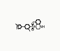 Cc1cc(-c2cnn(C)c2)ccc1S(=O)(=O)N1CCNc2cccc(C)c21